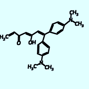 C=CC(=O)C=C(O)C=C(c1ccc(N(C)C)cc1)c1ccc(N(C)C)cc1